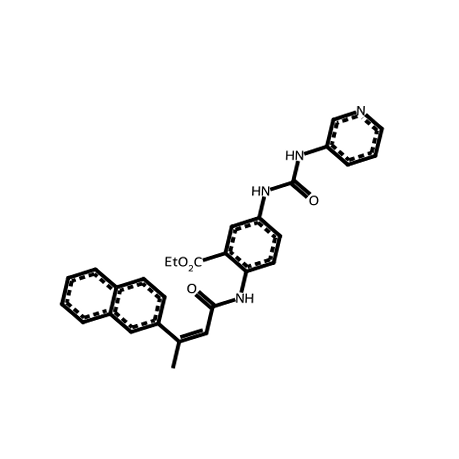 CCOC(=O)c1cc(NC(=O)Nc2cccnc2)ccc1NC(=O)/C=C(/C)c1ccc2ccccc2c1